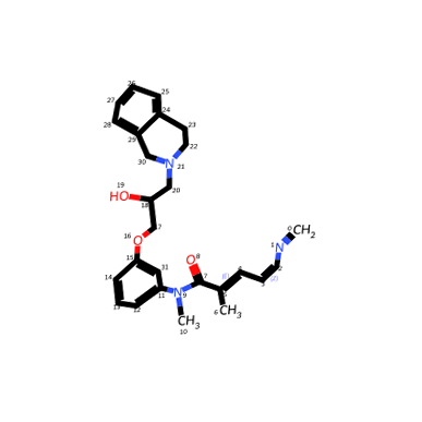 C=N/C=C\C=C(/C)C(=O)N(C)c1cccc(OCC(O)CN2CCc3ccccc3C2)c1